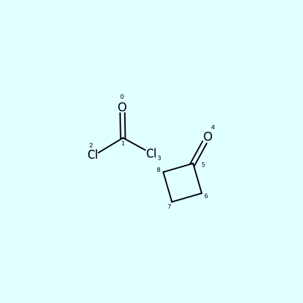 O=C(Cl)Cl.O=C1CCC1